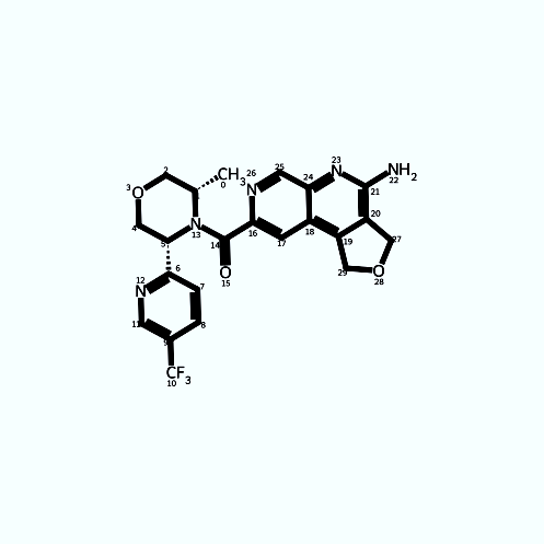 C[C@H]1COC[C@@H](c2ccc(C(F)(F)F)cn2)N1C(=O)c1cc2c3c(c(N)nc2cn1)COC3